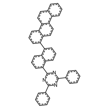 c1ccc(-c2nc(-c3ccccc3)nc(-c3cccc4c(-c5cccc6c5ccc5c7ccccc7ccc65)cccc34)n2)cc1